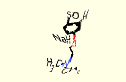 CN(C)CCOc1ccc(S(=O)(=O)O)cc1.[NaH]